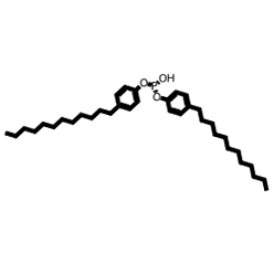 CCCCCCCCCCCCc1ccc(OP(O)Oc2ccc(CCCCCCCCCCCC)cc2)cc1